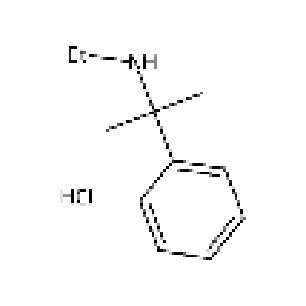 CCNC(C)(C)c1ccccc1.Cl